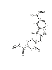 COC(=O)c1ccc2nc(CN3CCN(C(=O)OC(C)(C)C)C[C@@H]3C)n(C)c2n1